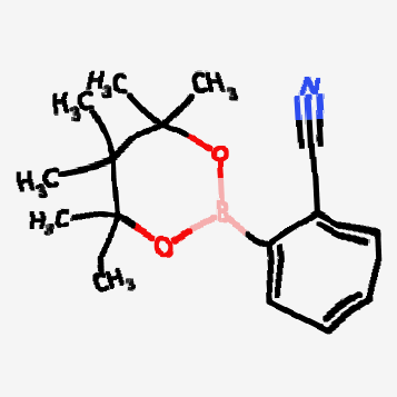 CC1(C)OB(c2ccccc2C#N)OC(C)(C)C1(C)C